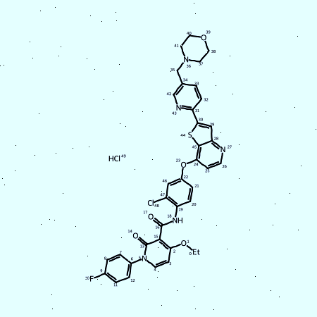 CCOc1ccn(-c2ccc(F)cc2)c(=O)c1C(=O)Nc1ccc(Oc2ccnc3cc(-c4ccc(CN5CCOCC5)cn4)sc23)cc1Cl.Cl